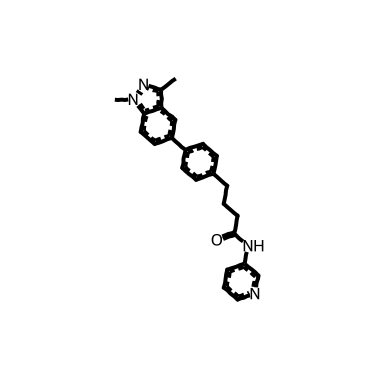 Cc1nn(C)c2ccc(-c3ccc(CCCC(=O)Nc4cccnc4)cc3)cc12